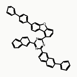 c1ccc(-c2ccc(-c3ccc4c(c3)oc3cccc(-c5nc(-c6ccc7ccccc7c6)nc(-c6ccc7ccc(-c8ccccc8)cc7c6)n5)c34)cc2)cc1